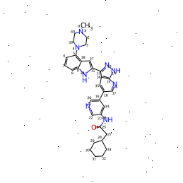 CN1CCN(c2cccc3[nH]c(-c4n[nH]c5ncc(-c6cncc(NC(=O)CC7CCCCC7)c6)cc45)cc23)CC1